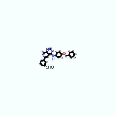 O=Cc1cccc(-c2cc3c(Nc4ccc(OCc5ccccc5)cc4)ncnc3cn2)c1